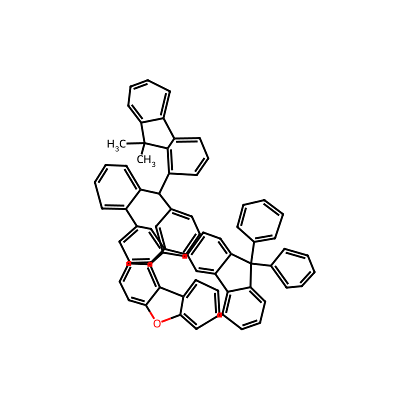 CC1(C)c2ccccc2-c2cccc(C(c3cccc(-c4cccc5oc6ccccc6c45)c3)c3ccccc3-c3cccc(-c4ccc5c(c4)-c4ccccc4C5(c4ccccc4)c4ccccc4)c3)c21